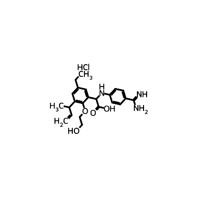 C=CC(C)c1cc(CC)cc(C(Nc2ccc(C(=N)N)cc2)C(=O)O)c1OCCO.Cl